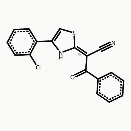 N#C/C(C(=O)c1ccccc1)=C1/NC(c2ccccc2Cl)=CS1